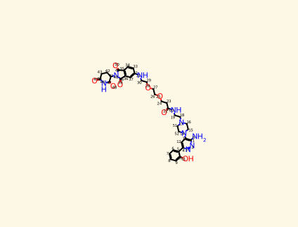 Nc1nnc(-c2ccccc2O)cc1N1CCN(CCNC(=O)CCOCCOCCNc2ccc3c(c2)C(=O)N(C2CCC(=O)NC2=O)C3=O)CC1